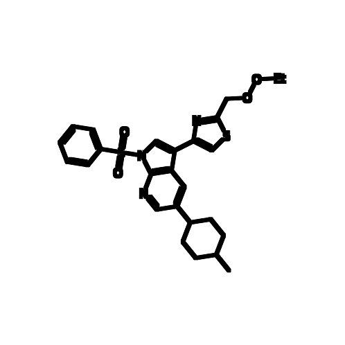 CCOOCc1nc(-c2cn(S(=O)(=O)c3ccccc3)c3ncc(C4CCC(C)CC4)cc23)cs1